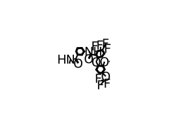 CNC(=O)c1cccc(NC(=O)c2c(Oc3ccc(OC(F)(F)F)cc3OC)ccc(C(F)(F)F)c2F)c1